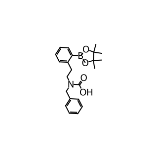 CC1(C)OB(c2ccccc2CCN(Cc2ccccc2)C(=O)O)OC1(C)C